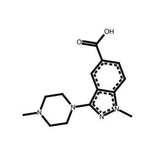 CN1CCN(c2nn(C)c3ccc(C(=O)O)cc23)CC1